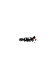 CCC(=CC(=O)c1ccc(F)cc1)N[C@@H](Cc1ccc(OCCc2nc(-c3ccc(F)cc3)oc2C)cc1)C(=O)O